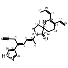 C#CC/C(=C\C=C(/I)N1CCC2(CCC(C=C)=C(/C=C\C)N2)C1=O)c1cn[nH]c1